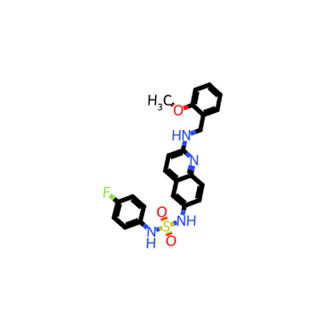 COc1ccccc1CNc1ccc2cc(NS(=O)(=O)Nc3ccc(F)cc3)ccc2n1